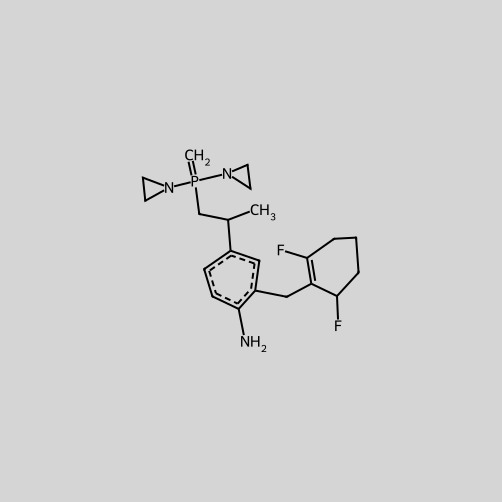 C=P(CC(C)c1ccc(N)c(CC2=C(F)CCCC2F)c1)(N1CC1)N1CC1